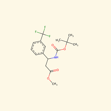 COC(=O)CC(NC(=O)OC(C)(C)C)c1cccc(C(F)(F)F)c1